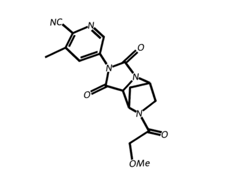 COCC(=O)N1CC2CC1C1C(=O)N(c3cnc(C#N)c(C)c3)C(=O)N21